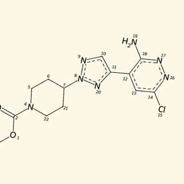 CC(C)(C)OC(=O)N1CCC(n2ncc(-c3cc(Cl)nnc3N)n2)CC1